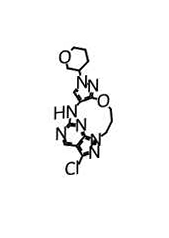 Clc1nn2c3nc(ncc13)Nc1cn(C3CCCOC3)nc1OCCC2